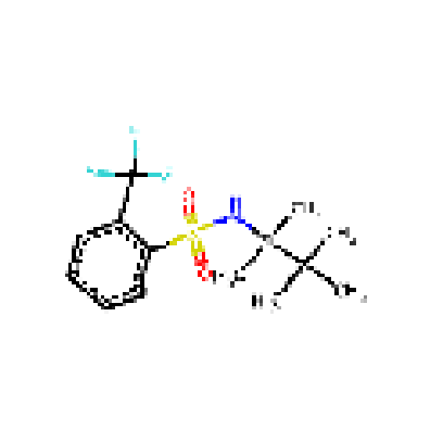 CC(C)(C)[Si](C)(C)NS(=O)(=O)c1ccccc1C(F)(F)F